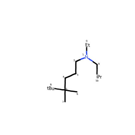 CCN(CCCC(C)(C)C(C)(C)C)CC(C)C